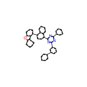 c1ccc(-c2cccc(-c3nc(-c4ccccc4)nc(-c4ccc(-c5cccc6oc7ccccc7c56)c5ccccc45)n3)c2)cc1